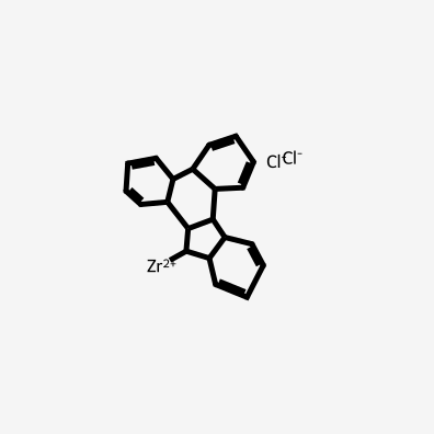 [Cl-].[Cl-].[Zr+2][CH]1C2C=CC=CC2C2C3C=CC=CC3C3C=CC=CC3C12